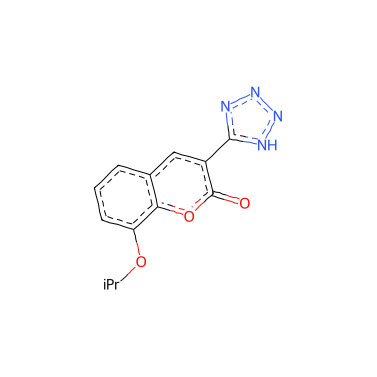 CC(C)Oc1cccc2cc(-c3nnn[nH]3)c(=O)oc12